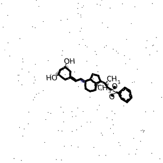 C[C@H](CS(=O)(=O)c1ccccc1)C1CCC2/C(=C/C=C3C[C@@H](O)C[C@H](O)C3)CCC[C@@]21C